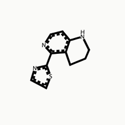 c1csc(-c2nccc3c2CCCN3)n1